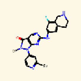 CCn1c(=O)c2cnc(Nc3cc(F)c4c(c3)CCNC4)nc2n1-c1ccnc(C(C)(C)C)c1